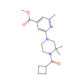 COC(=O)c1cc(C)nc(N2CCN(C(=O)C3CCC3)C(C)(C)C2)c1